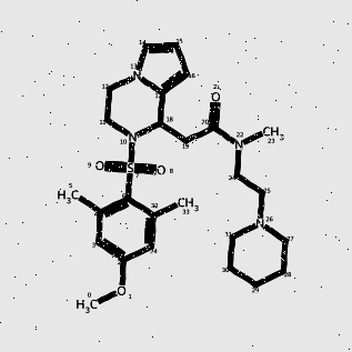 COc1cc(C)c(S(=O)(=O)N2CCn3cccc3C2CC(=O)N(C)CCN2CCCCC2)c(C)c1